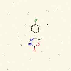 CC1OC(=O)NN=C1c1ccc(Br)cc1